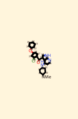 CN[C@H]1CC[C@@H](Nc2ccnc3[nH]cc(C(=O)c4ccc(Oc5ccccc5)cc4Cl)c23)CC1